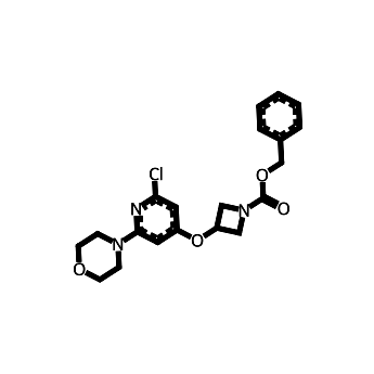 O=C(OCc1ccccc1)N1CC(Oc2cc(Cl)nc(N3CCOCC3)c2)C1